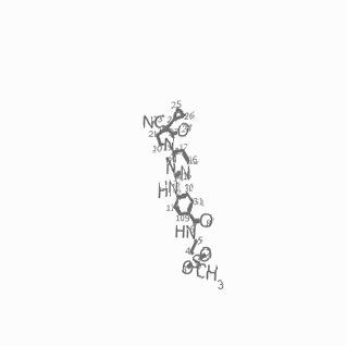 CS(=O)(=O)CCNC(=O)c1ccc(Nc2nccc(N3CC[C@@](C#N)(C4CC4)C3=O)n2)cc1